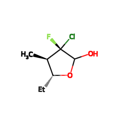 CC[C@H]1OC(O)[C@@](F)(Cl)[C@@H]1C